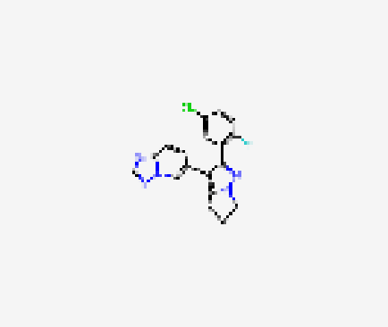 Fc1ccc(Cl)cc1-c1nn2c(c1-c1ccc3ncnn3c1)CCC2